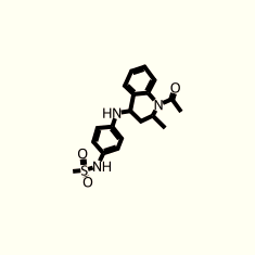 CC(=O)N1c2ccccc2C(Nc2ccc(NS(C)(=O)=O)cc2)CC1C